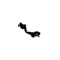 Nc1ncnc2c1c(-c1ccc(Oc3ccccc3)cc1)nn2C1CCN(C2CC(CC3CC(c4ccc5c(c4)C(=O)N(C4CCC(=O)NC4=O)C5=O)C3)C2)CC1